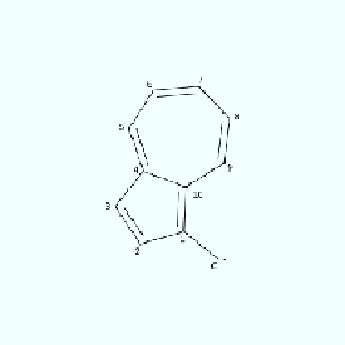 [CH2]c1ccc2cccccc1-2